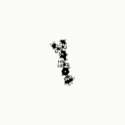 CC(C)(C)OC(=O)N(C(=O)OC(C)(C)C)c1ccc(CNC(=O)Nc2ccc(B3OC(C)(C)C(C)(C)O3)cc2F)cn1